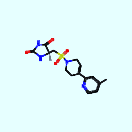 Cc1ccnc(C2=CCN(S(=O)(=O)C[C@@]3(C)NC(=O)NC3=O)CC2)c1